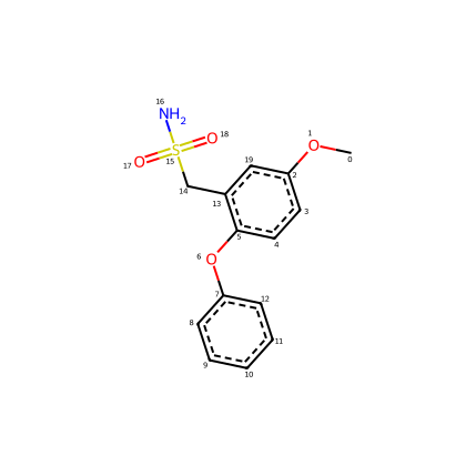 COc1ccc(Oc2ccccc2)c(CS(N)(=O)=O)c1